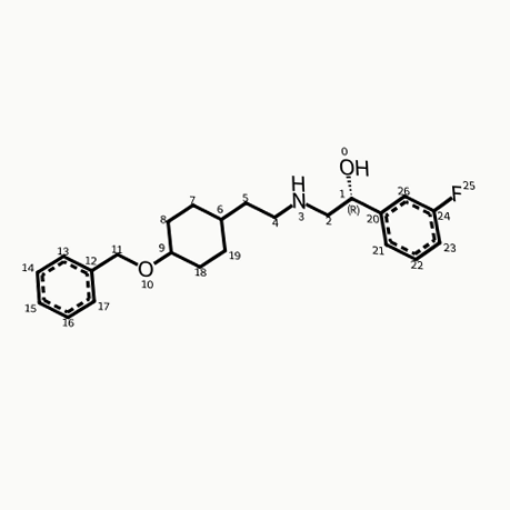 O[C@@H](CNCCC1CCC(OCc2ccccc2)CC1)c1cccc(F)c1